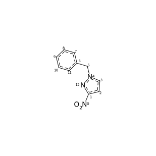 O=[N+]([O-])c1ccn(Cc2ccccc2)n1